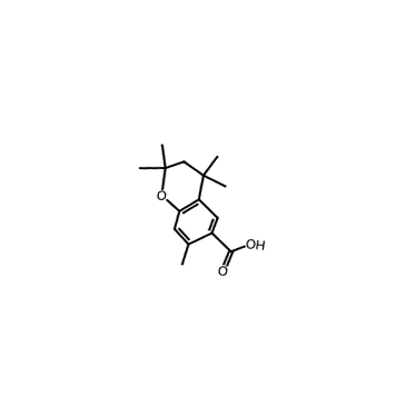 Cc1cc2c(cc1C(=O)O)C(C)(C)CC(C)(C)O2